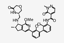 COc1nc(-c2cccc(-c3cccc(NC(=O)c4ccnn(C)c4=O)c3Cl)c2Cl)cc2c1[C@@H](NC[C@@H]1COCC(=O)N1)[C@H](C)C2